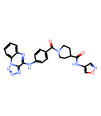 O=C(Nc1cnoc1)C1CCN(C(=O)c2ccc(Nc3nc4ccccc4n4nnnc34)cc2)CC1